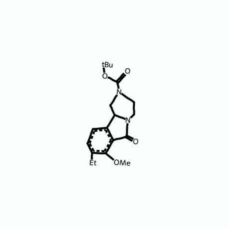 CCc1ccc2c(c1OC)C(=O)N1CCN(C(=O)OC(C)(C)C)CC21